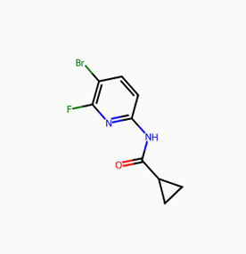 O=C(Nc1ccc(Br)c(F)n1)C1CC1